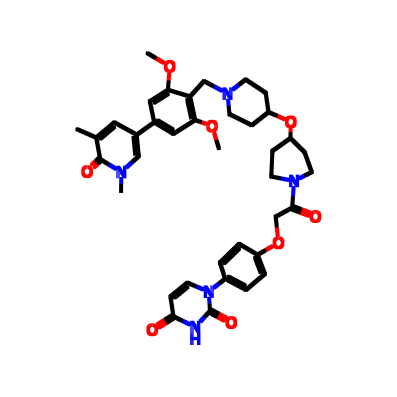 COc1cc(-c2cc(C)c(=O)n(C)c2)cc(OC)c1CN1CCC(OC2CCN(C(=O)COc3ccc(-n4ccc(=O)[nH]c4=O)cc3)CC2)CC1